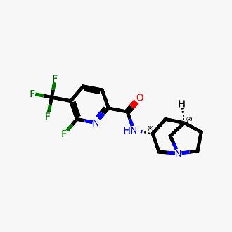 O=C(N[C@@H]1C[C@H]2CCN(C2)C1)c1ccc(C(F)(F)F)c(F)n1